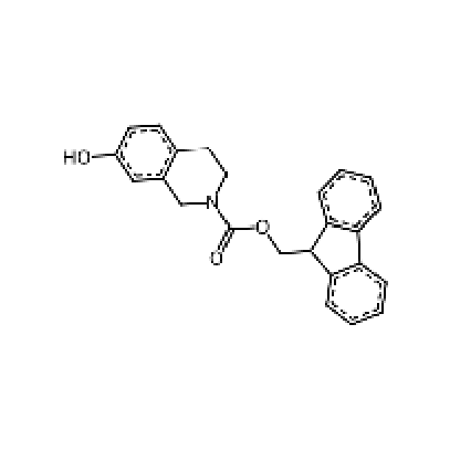 O=C(OCC1c2ccccc2-c2ccccc21)N1CCc2ccc(O)cc2C1